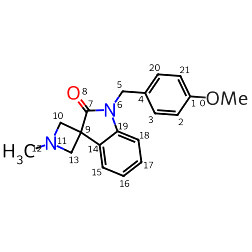 COc1ccc(CN2C(=O)C3(CN(C)C3)c3ccccc32)cc1